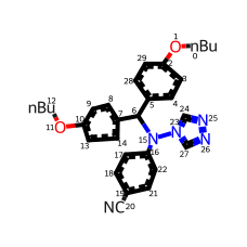 CCCCOc1ccc(C(c2ccc(OCCCC)cc2)N(c2ccc(C#N)cc2)n2cnnc2)cc1